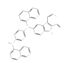 C=Cc1c(/C=C\C)c2cc(N(c3ccc(N(C)c4cccc5ccccc45)cc3)c3cccc4ccccc34)ccc2n1C